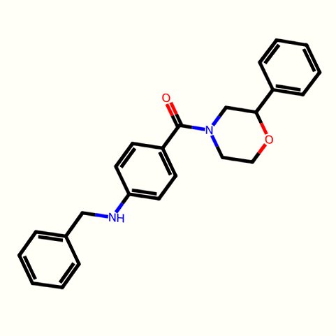 O=C(c1ccc(NCc2ccccc2)cc1)N1CCOC(c2ccccc2)C1